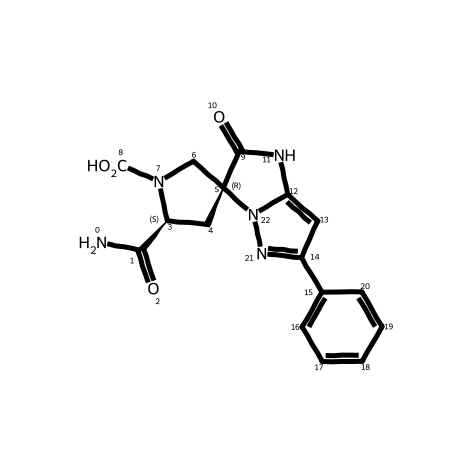 NC(=O)[C@@H]1C[C@@]2(CN1C(=O)O)C(=O)Nc1cc(-c3ccccc3)nn12